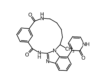 CC1CCCCNC(=O)c2cccc(c2)C(=O)Nc2nc3cccc(-c4ccc[nH]c4=O)c3n21